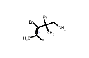 C/C(F)=C(\Br)C(C)(CN)C(C)C